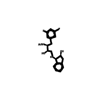 CC(=O)N[C@@H](Cc1cc(F)cc(F)c1)[C@H](O)CN[C@@H]1c2ccccc2C[C@@H]1O